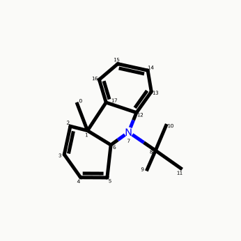 CC12C=CC=CC1N(C(C)(C)C)c1ccccc12